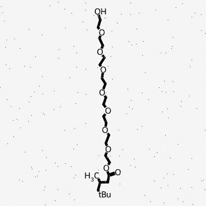 CC(CC(=O)OCCOCCOCCOCCOCCOCCOCCOCCO)CC(C)(C)C